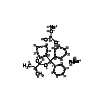 C=C(C)C(=O)OC(c1ccccc1)(c1ccccc1)c1ccccc1.[Na+].[Na+].[Na+].[O-]P([O-])[O-]